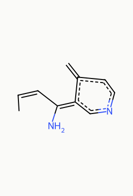 C=c1ccnc/c1=C(N)/C=C\C